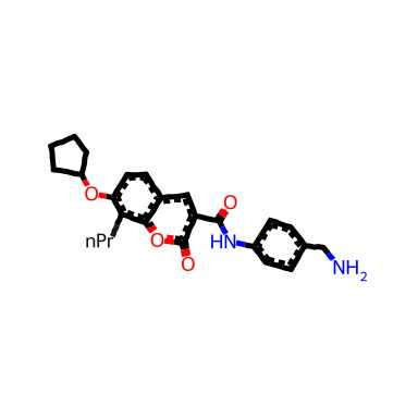 CCCc1c(OC2CCCC2)ccc2cc(C(=O)Nc3ccc(CN)cc3)c(=O)oc12